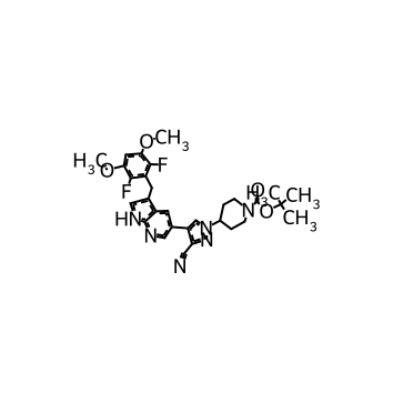 COc1cc(OC)c(F)c(Cc2c[nH]c3ncc(-c4cn(C5CCN(C(=O)OC(C)(C)C)CC5)nc4C#N)cc23)c1F